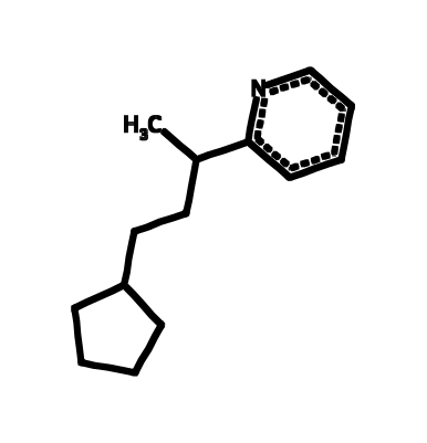 CC(CCC1CCCC1)c1ccccn1